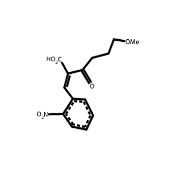 COCCCC(=O)C(=Cc1ccccc1[N+](=O)[O-])C(=O)O